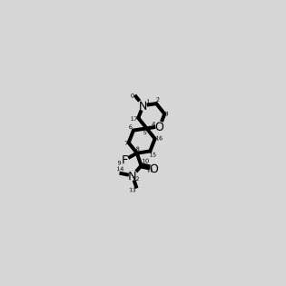 CN1CCOC2(CCC(F)(C(=O)N(C)C)CC2)C1